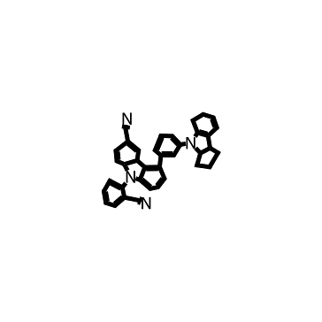 N#CC1=CC2c3c(-c4cccc(N5C6=C(C=CCC6)C6CCCC65)c4)cccc3N(c3ccccc3C#N)C2C=C1